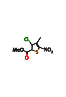 COC(=O)c1sc([N+](=O)[O-])c(C)c1Cl